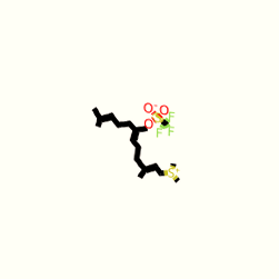 CC(C)=CCCC(C)=CCCC(C)=CC[S+](C)C.O=S(=O)([O-])C(F)(F)F